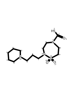 O=C(S)N1CCN(CCCN2CCCCC2)S(=O)(=O)CC1